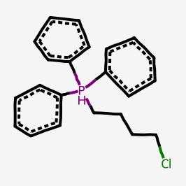 ClCCCC[PH](c1ccccc1)(c1ccccc1)c1ccccc1